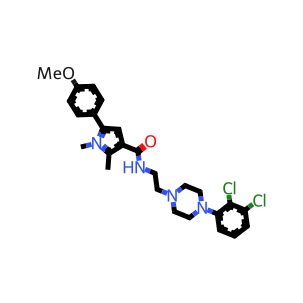 COc1ccc(-c2cc(C(=O)NCCN3CCN(c4cccc(Cl)c4Cl)CC3)c(C)n2C)cc1